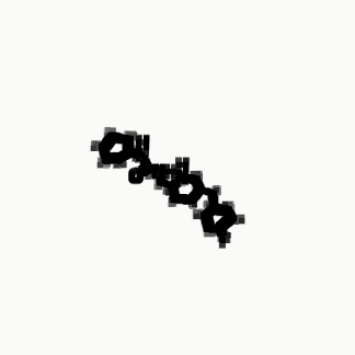 O=C(NC[C@@H]1CC[C@H](Cc2ccc(F)cc2)CN1)Nc1ccccc1